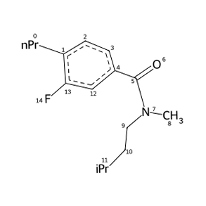 CCCc1ccc(C(=O)N(C)CCC(C)C)cc1F